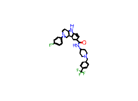 O=C(NC1CCN(Cc2ccc(C(F)(F)F)cc2)CC1)c1ccc2[nH]c3c(c2c1)CN(c1ccc(F)cc1)CC3